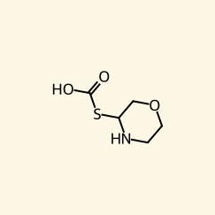 O=C(O)SC1COCCN1